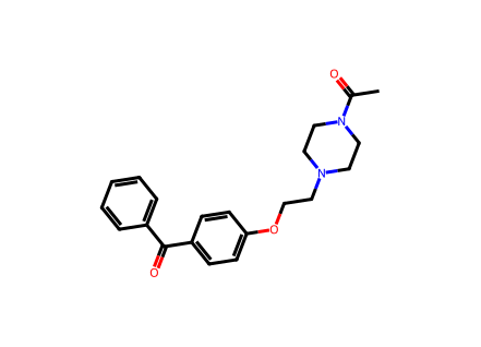 CC(=O)N1CCN(CCOc2ccc(C(=O)c3ccccc3)cc2)CC1